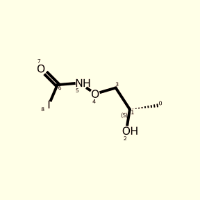 C[C@H](O)CONC(=O)I